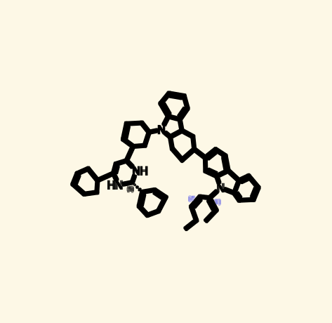 C/C=C(\C=C/CC)n1c2ccccc2c2ccc(C3CCC4C(C3)c3ccccc3N4C3CC=CC(C4C=C(C5CC=CCC5)N[C@@H](C5=CCCC=C5)N4)C3)cc21